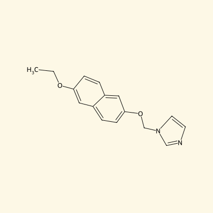 CCOc1ccc2cc(OCn3ccnc3)ccc2c1